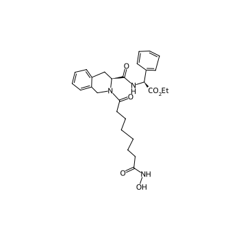 CCOC(=O)[C@@H](NC(=O)[C@@H]1Cc2ccccc2CN1C(=O)CCCCCCC(=O)NO)c1ccccc1